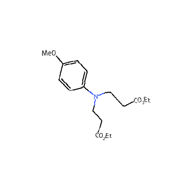 CCOC(=O)CCN(CCC(=O)OCC)c1ccc(OC)cc1